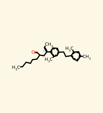 C/C=C(/CC(C=O)CCCCCC)c1ccc(CCc2ccc(C)cc2C)cc1C